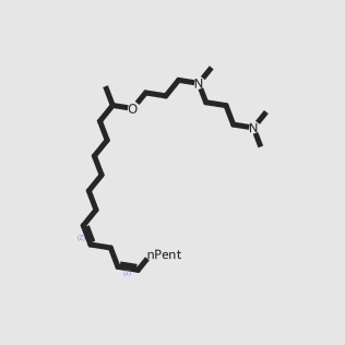 CCCCC/C=C\C/C=C\CCCCCCC(C)OCCCN(C)CCCN(C)C